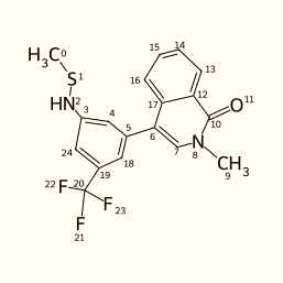 CSNc1cc(-c2cn(C)c(=O)c3ccccc23)cc(C(F)(F)F)c1